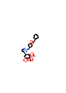 COc1cc(-c2cccn2Cc2ccc(OCc3ccccc3)cc2)cc(OC)c1OC